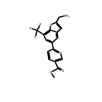 COC(=O)c1ccc(-c2cc(C(F)(F)F)c3oc(CN)cc3c2)nc1